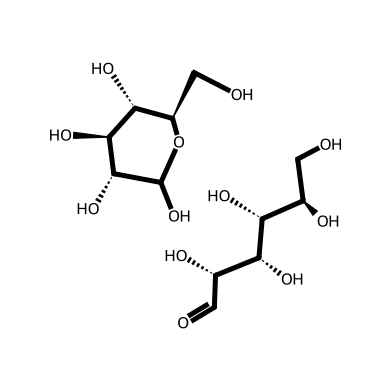 O=C[C@H](O)[C@@H](O)[C@H](O)[C@H](O)CO.OC[C@H]1OC(O)[C@H](O)[C@@H](O)[C@@H]1O